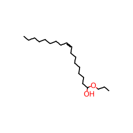 CCCCCCCC/C=C\CCCCCCCC(O)OCCC